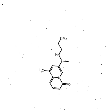 COCCNC(C)c1cc(C(F)(F)F)c2nccc(=O)n2c1